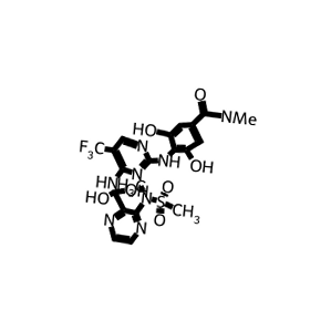 CNC(=O)c1cc(O)c(Nc2ncc(C(F)(F)F)c(NC(O)(O)c3nccnc3N(C)S(C)(=O)=O)n2)c(O)c1